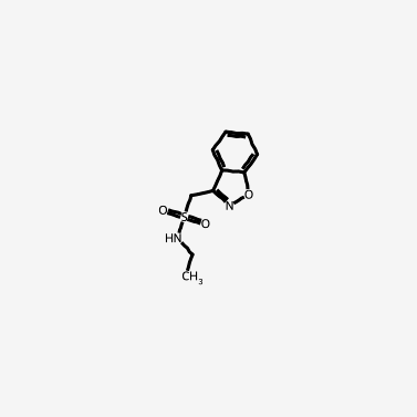 CCNS(=O)(=O)Cc1noc2ccccc12